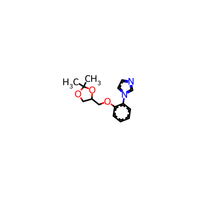 CC1(C)OCC(COc2ccccc2-n2ccnc2)O1